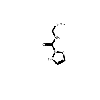 CCCCCCNC(=O)N1NC=CO1